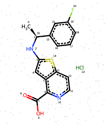 C[C@H](Nc1cc2c(C(=O)O)nccc2s1)c1cccc(F)c1.Cl